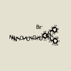 [Br-].[N-]=[N+]=NCCOCCOCCOCCOc1ccc2c(c1)[n+](Cc1ccccc1)cn2Cc1ccccc1